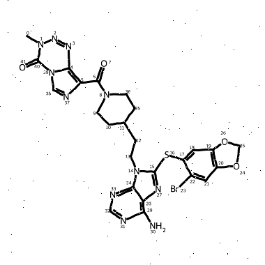 Cn1nnc2c(C(=O)N3CCC(CCn4c(Sc5cc6c(cc5Br)OCO6)nc5c(N)ncnc54)CC3)ncn2c1=O